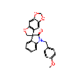 COc1ccc(CN2C(=O)C3(COc4cc5c(cc43)OCO5)c3ccccc32)cc1